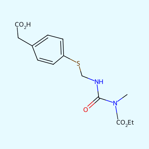 CCOC(=O)N(C)C(=O)NCSc1ccc(CC(=O)O)cc1